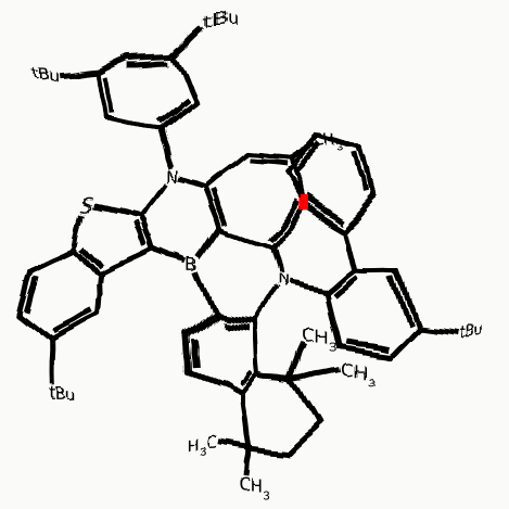 Cc1cc2c3c(c1)N(c1ccc(C(C)(C)C)cc1-c1ccccc1)c1c(ccc4c1C(C)(C)CCC4(C)C)B3c1c(sc3ccc(C(C)(C)C)cc13)N2c1cc(C(C)(C)C)cc(C(C)(C)C)c1